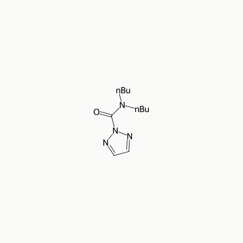 CCCCN(CCCC)C(=O)n1nccn1